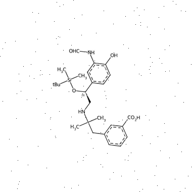 CC(C)(Cc1cccc(C(=O)O)c1)NC[C@@H](O[Si](C)(C)C(C)(C)C)c1ccc(O)c(NC=O)c1